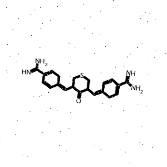 N=C(N)C1=CC/C(=C/C2CSCC(/C=C3/C=CC(C(=N)N)=CC3)C2=O)C=C1